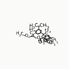 CCOCC1C(COC(=O)C23CCC(C)(C(=O)O2)C3(C)C)C1(C)c1cc(C(C)C)cc(C(C)C)c1